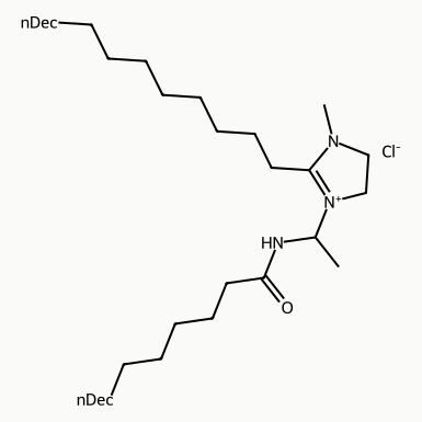 CCCCCCCCCCCCCCCCCCC1=[N+](C(C)NC(=O)CCCCCCCCCCCCCCC)CCN1C.[Cl-]